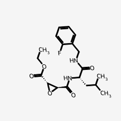 CCOC(=O)[C@H]1O[C@@H]1C(=O)N[C@@H](CC(C)C)C(=O)NCc1ccccc1F